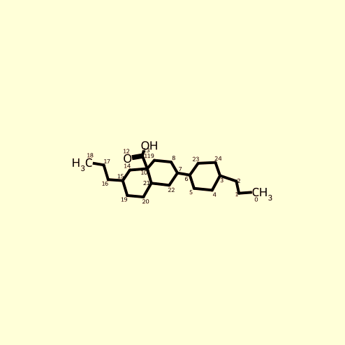 CCCC1CCC(C2CCC3(C(=O)O)CC(CCC)CCC3C2)CC1